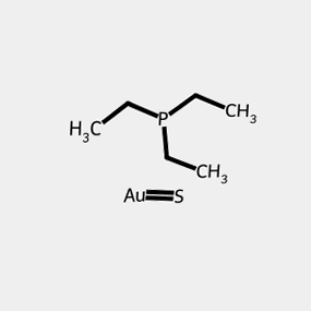 CCP(CC)CC.[S]=[Au]